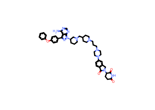 Nc1ncnc2c1c(-c1ccc(Oc3ccccc3)cc1)nn2[C@@H]1CCCN(CC2CCN(CCCN3CCN(c4ccc5c(c4)CN(C4CCC(=O)NC4=O)C5=O)CC3)CC2)C1